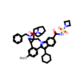 COc1ccc2c(c1)C1CC1(C(=O)N1C3CCC1CC(NCc1ccccc1)C3)Cn1c-2c(C2CCCCC2)c2ccc(C(=O)NS(=O)(=O)N3CCC3)cc21